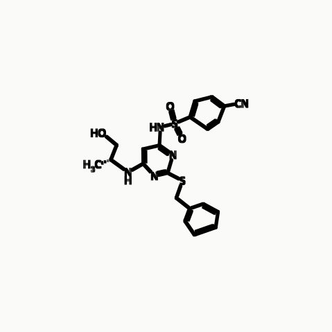 C[C@H](CO)Nc1cc(NS(=O)(=O)c2ccc(C#N)cc2)nc(SCc2ccccc2)n1